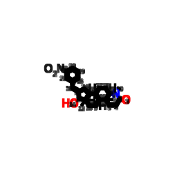 CN1C(=O)C=C[C@]2(C)[C@H]3CC[C@]4(C)[C@@H](O)C(=Cc5cccc([N+](=O)[O-])c5)C[C@H]4[C@@H]3CC[C@@H]12